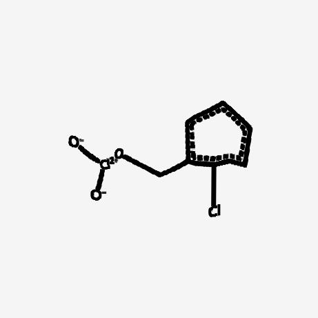 [O-][Cl+2]([O-])OCc1ccccc1Cl